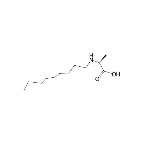 CCCCCCCCCN[C@@H](C)C(=O)O